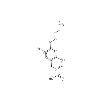 CCCCCc1cc2c(cc1F)CC(C(=O)O)=CN2